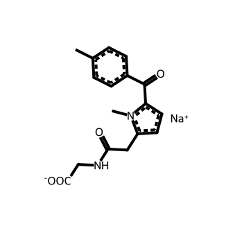 Cc1ccc(C(=O)c2ccc(CC(=O)NCC(=O)[O-])n2C)cc1.[Na+]